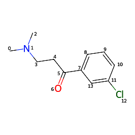 CN(C)CCC(=O)c1cccc(Cl)c1